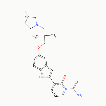 CC(C)(COc1ccc2[nH]c(-c3c[c]cn(C(N)=O)c3=O)cc2c1)CN1CC[C@H](F)C1